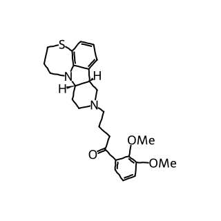 COc1cccc(C(=O)CCCN2CC[C@H]3[C@@H](C2)c2cccc4c2N3CCCS4)c1OC